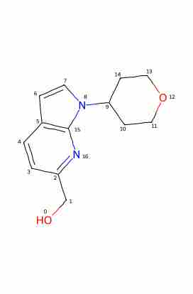 OCc1ccc2ccn(C3CCOCC3)c2n1